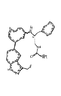 CC(C)C(=O)NC[C@H](Nc1cncc(-c2ccc3[nH]nc(F)c3c2)c1)c1ccccc1